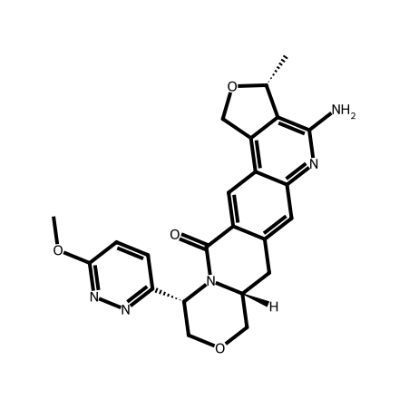 COc1ccc([C@H]2COC[C@H]3Cc4cc5nc(N)c6c(c5cc4C(=O)N32)CO[C@@H]6C)nn1